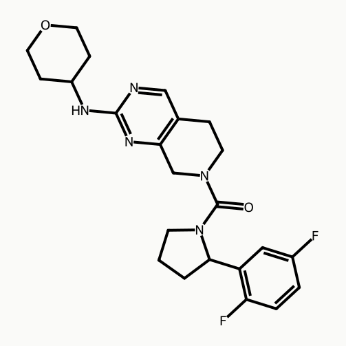 O=C(N1CCc2cnc(NC3CCOCC3)nc2C1)N1CCCC1c1cc(F)ccc1F